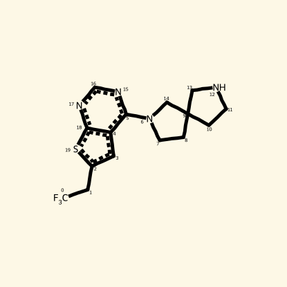 FC(F)(F)Cc1cc2c(N3CCC4(CCNC4)C3)ncnc2s1